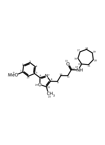 COc1cccc(-c2nc(CCCC(=O)NC3CCCCCC3)c(C)o2)c1